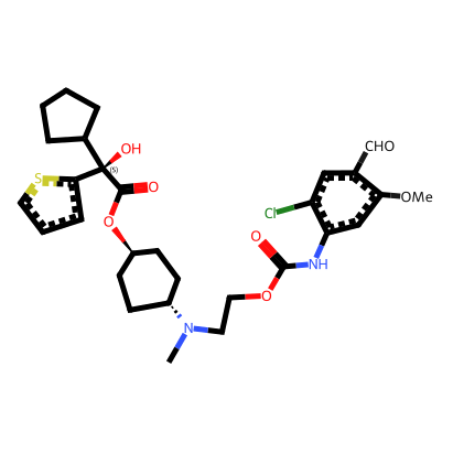 COc1cc(NC(=O)OCCN(C)[C@H]2CC[C@H](OC(=O)[C@](O)(c3cccs3)C3CCCC3)CC2)c(Cl)cc1C=O